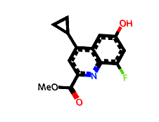 COC(=O)c1cc(C2CC2)c2cc(O)cc(F)c2n1